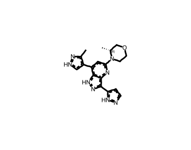 Cc1n[nH]cc1-c1cc(N2CCOC[C@H]2C)nc2c(-c3ccn[nH]3)n[nH]c12